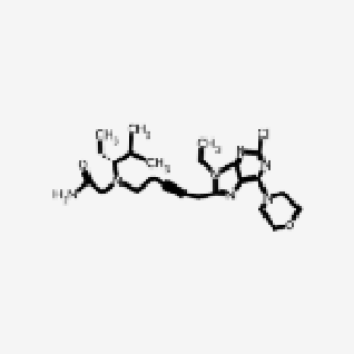 CC[C@H](C(C)C)N(CCC#CCc1nc2c(N3CCOCC3)nc(Cl)nc2n1CC)CC(N)=O